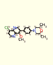 COc1c(-c2ccc(N3C[C@@H](C)O[C@@H](C)C3)cc2)cnc2c(Cl)ccnc12